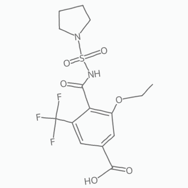 CCOc1cc(C(=O)O)cc(C(F)(F)F)c1C(=O)NS(=O)(=O)N1CCCC1